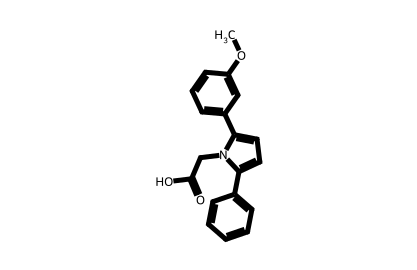 COc1cccc(-c2ccc(-c3ccccc3)n2CC(=O)O)c1